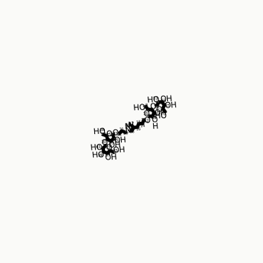 OCC1O[C@H](O[C@@H]2C(CO)O[C@@H](OCCCCc3cn(CCCO[C@@H]4OC(CO)[C@@H](O[C@H]5OC(CO)[C@@H](O)[C@H](O)C5O)[C@H](O)C4O)nn3)C(O)[C@H]2O)C(O)[C@@H](O)[C@@H]1O